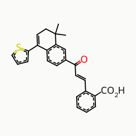 CC1(C)CC=C(c2cccs2)c2ccc(C(=O)/C=C/c3ccccc3C(=O)O)cc21